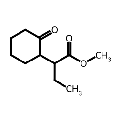 CCC(C(=O)OC)C1CCCCC1=O